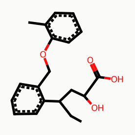 CCC(CC(O)C(=O)O)c1ccccc1COc1ccccc1C